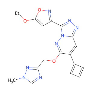 CCOc1cc(-c2nnc3cc(C4=CC=C4)c(OCc4ncn(C)n4)nn23)no1